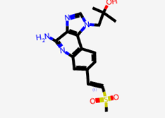 CC(C)(O)Cn1cnc2c(N)nc3cc(/C=C/S(C)(=O)=O)ccc3c21